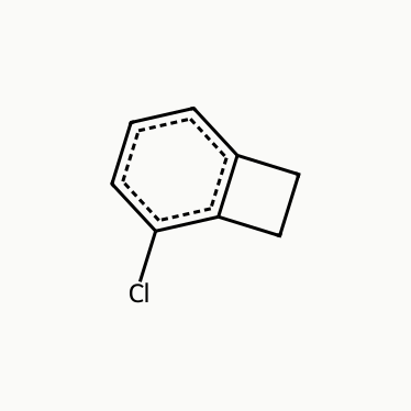 Clc1cccc2c1CC2